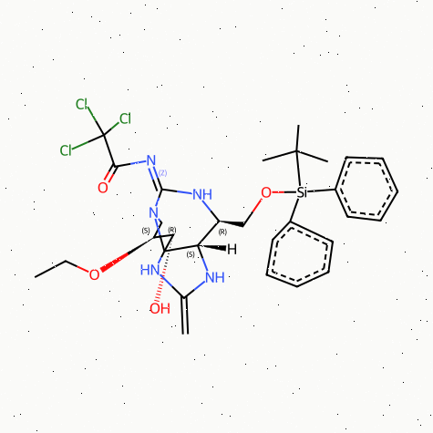 C=C1N[C@H]2[C@H](CO[Si](c3ccccc3)(c3ccccc3)C(C)(C)C)N/C(=N/C(=O)C(Cl)(Cl)Cl)N3C[C@H](OCC)[C@H](O)C23N1